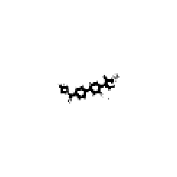 Cc1c(-c2ccc(-c3ccc(C(=O)N4CC(F)C4)cc3)cc2C(F)(F)F)csc1C#N